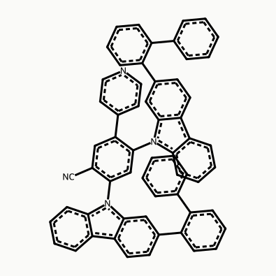 N#Cc1cc(-c2ccncc2)c(-n2c3ccccc3c3ccc(-c4ccccc4-c4ccccc4)cc32)cc1-n1c2ccccc2c2ccc(-c3ccccc3-c3ccccc3)cc21